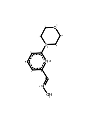 ON=Cc1cccc(N2CCOCC2)n1